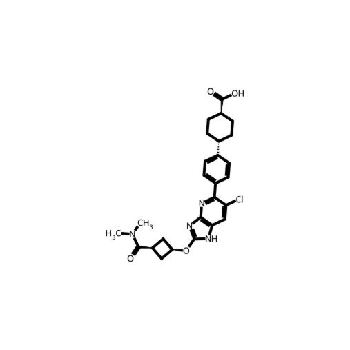 CN(C)C(=O)[C@H]1C[C@@H](Oc2nc3nc(-c4ccc([C@H]5CC[C@H](C(=O)O)CC5)cc4)c(Cl)cc3[nH]2)C1